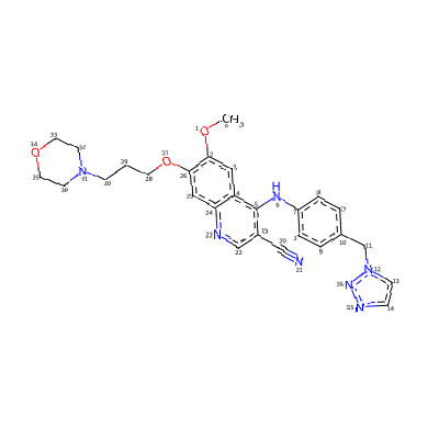 COc1cc2c(Nc3ccc(Cn4ccnn4)cc3)c(C#N)cnc2cc1OCCCN1CCOCC1